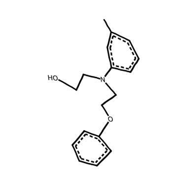 Cc1cccc(N(CCO)CCOc2ccccc2)c1